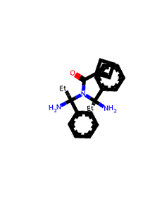 CCC(N)(c1ccccc1)N(C(=O)C1=CCC1)C(N)(CC)c1ccccc1